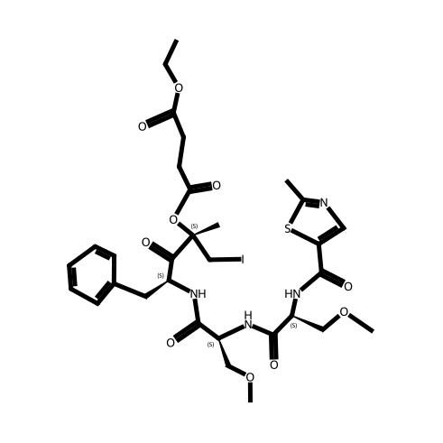 CCOC(=O)CCC(=O)O[C@](C)(CI)C(=O)[C@H](Cc1ccccc1)NC(=O)[C@H](COC)NC(=O)[C@H](COC)NC(=O)c1cnc(C)s1